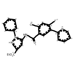 CCOC(=O)c1cc(NC(=O)c2cc(-c3ccccn3)c(F)cc2Cl)n(-c2ccccc2)n1